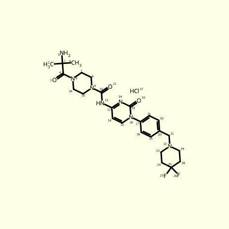 CC(C)(N)C(=O)N1CCN(C(=O)Nc2ccn(-c3ccc(CN4CCC(F)(F)CC4)cc3)c(=O)n2)CC1.Cl